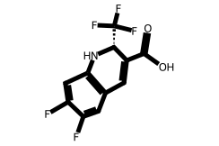 O=C(O)C1=Cc2cc(F)c(F)cc2N[C@@H]1C(F)(F)F